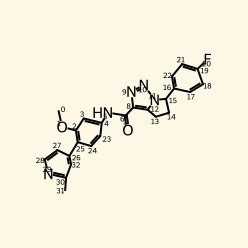 COc1cc(NC(=O)c2nnn3c2CCC3c2ccc(F)cc2)ccc1-c1ccnc(C)c1